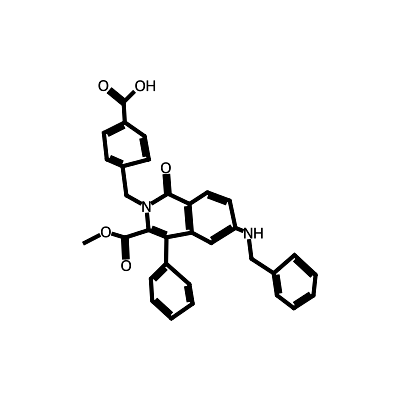 COC(=O)c1c(-c2ccccc2)c2cc(NCc3ccccc3)ccc2c(=O)n1Cc1ccc(C(=O)O)cc1